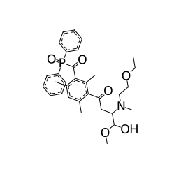 CCOCCN(C)C(CC(=O)c1c(C)cc(C)c(C(=O)P(=O)(c2ccccc2)c2ccccc2)c1C)C(O)OC